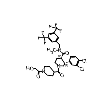 CN(Cc1cc(C(F)(F)F)cc(C(F)(F)F)c1)C(=O)[C@@H]1CCN(C(=O)C2CCN(C(=O)CO)CC2)C[C@H]1c1ccc(Cl)c(Cl)c1